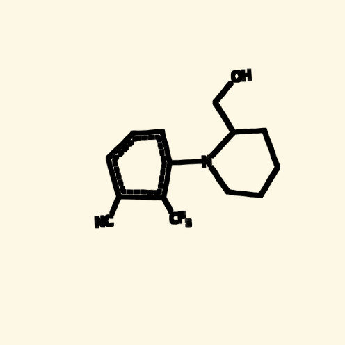 N#Cc1cccc(N2CCCCC2CO)c1C(F)(F)F